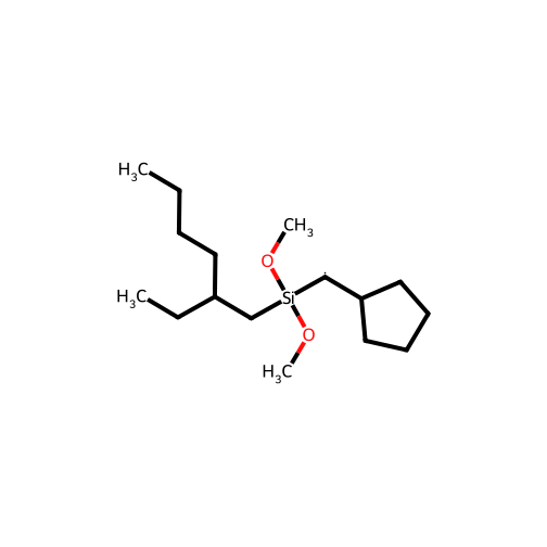 CCCCC(CC)C[Si]([CH]C1CCCC1)(OC)OC